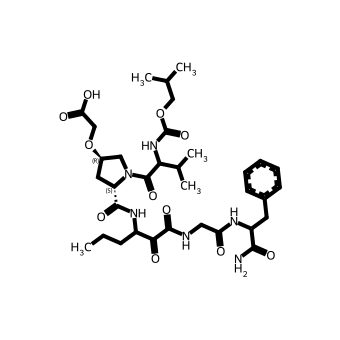 CCCC(NC(=O)[C@@H]1C[C@@H](OCC(=O)O)CN1C(=O)C(NC(=O)OCC(C)C)C(C)C)C(=O)C(=O)NCC(=O)NC(Cc1ccccc1)C(N)=O